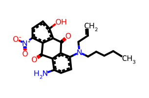 C=CCN(CCCCC)c1ccc(N)c2c1C(=O)c1c(O)ccc([N+](=O)[O-])c1C2=O